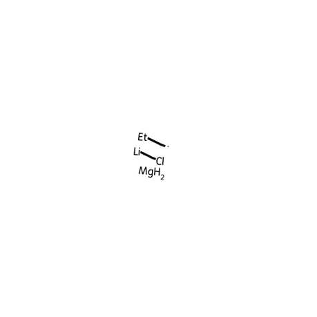 [CH2]CC.[Li][Cl].[MgH2]